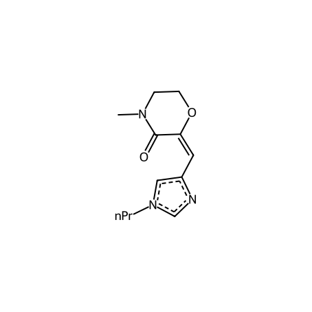 CCCn1cnc(/C=C2/OCCN(C)C2=O)c1